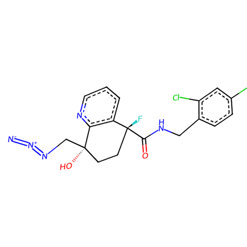 [N-]=[N+]=NC[C@]1(O)CC[C@@](F)(C(=O)NCc2ccc(Cl)cc2Cl)c2cccnc21